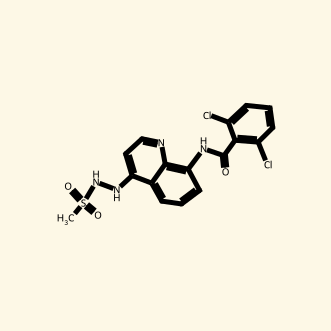 CS(=O)(=O)NNc1ccnc2c(NC(=O)c3c(Cl)cccc3Cl)cccc12